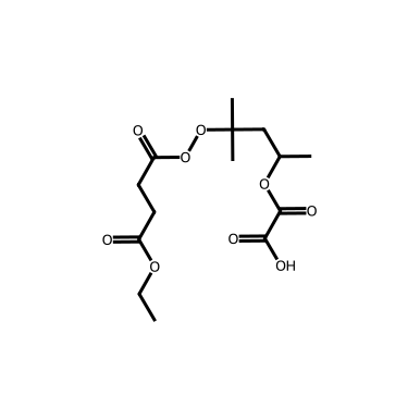 CCOC(=O)CCC(=O)OOC(C)(C)CC(C)OC(=O)C(=O)O